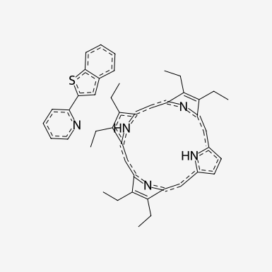 CCC1=C(CC)c2cc3[nH]c(cc4nc(cc5ccc(cc1n2)[nH]5)C(CC)=C4CC)c(CC)c3CC.c1ccc(-c2cc3ccccc3s2)nc1